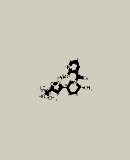 CC(C)Oc1ncccc1C(=O)N1C[C@H](c2cc(C(C)(C)O)on2)CC[C@H]1C